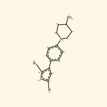 NC1CCN(c2ccc(-c3cc(Br)sc3Br)cc2)CC1